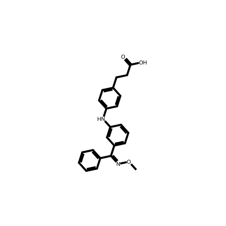 CO/N=C(/c1ccccc1)c1cccc(Nc2ccc(CCC(=O)O)cc2)c1